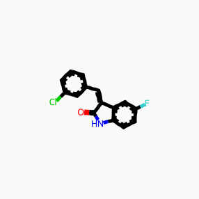 O=C1Nc2ccc(F)cc2/C1=C/c1cccc(Cl)c1